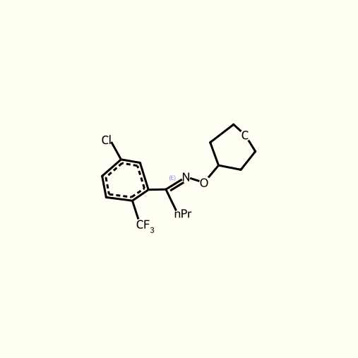 CCC/C(=N\OC1CCCCC1)c1cc(Cl)ccc1C(F)(F)F